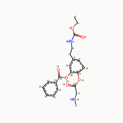 CCOC(=O)NCCc1ccc(OC(=O)CNC)c(OC(=O)c2ccccc2)c1